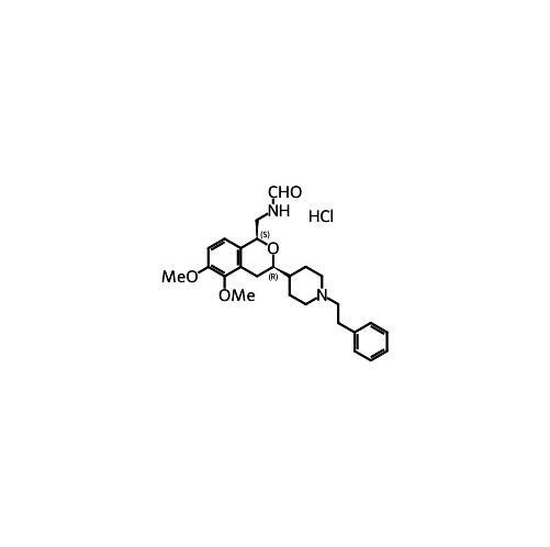 COc1ccc2c(c1OC)C[C@H](C1CCN(CCc3ccccc3)CC1)O[C@@H]2CNC=O.Cl